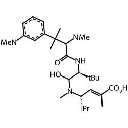 CNc1cccc(C(C)(C)C(NC)C(=O)N[C@H](C(O)N(C)[C@H](/C=C(\C)C(=O)O)C(C)C)C(C)(C)C)c1